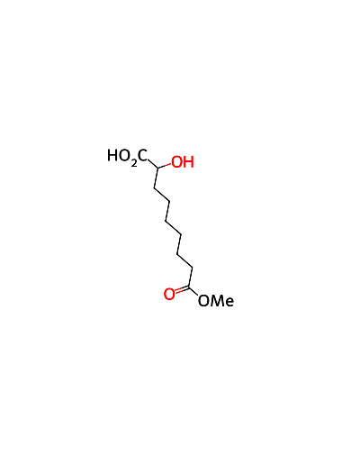 COC(=O)CCCCCCC(O)C(=O)O